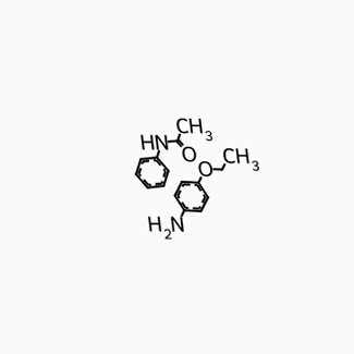 CC(=O)Nc1ccccc1.CCOc1ccc(N)cc1